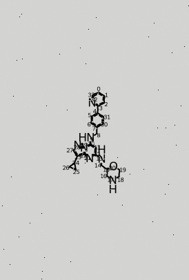 c1ccc(-c2ccc(CNc3cc(NCC4CNCCO4)nc4c(C5CC5)cnn34)cc2)nc1